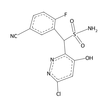 N#Cc1ccc(F)c(C(c2nnc(Cl)cc2O)S(N)(=O)=O)c1